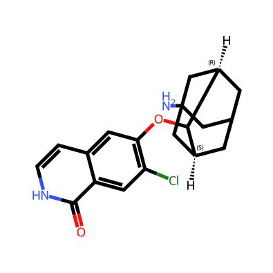 NC12CC3C[C@H](C1)C(Oc1cc4cc[nH]c(=O)c4cc1Cl)[C@@H](C3)C2